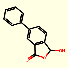 O=C1OC(O)c2ccc(-c3ccccc3)cc21